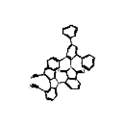 N#Cc1cccc2c1c1c(C#N)cccc1n2-c1cccc2c1C(=O)N(c1c(-c3ccccc3)cc(-c3ccccc3)cc1-c1ccccc1)C2=O